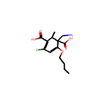 CCCCOC1=CC(Cl)=C(C(=O)O)C(C)C1(CN)C(=O)O